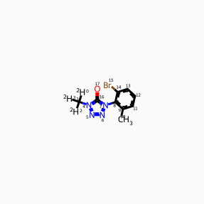 [2H]C([2H])([2H])n1nnn(-c2c(C)cccc2Br)c1=O